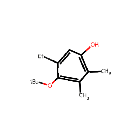 CCc1cc(O)c(C)c(C)c1OC(C)(C)C